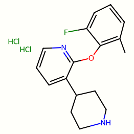 Cc1cccc(F)c1Oc1ncccc1C1CCNCC1.Cl.Cl